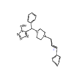 CCCCn1nnnc1C(c1ccccc1)N1CCN(C/C=C/c2ccccc2)CC1